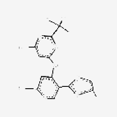 CC(=O)Nc1cc(Nc2cc(C)nc(C(C)(F)F)n2)c(-c2nc(C)co2)cn1